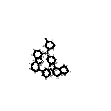 Cc1cccc(N(c2ccc3c(c2)sc2ccc4ccccc4c23)c2cccc3c2oc2c(-c4ccccc4)cccc23)c1